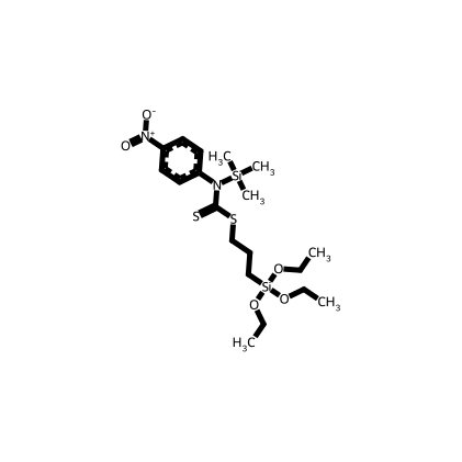 CCO[Si](CCCSC(=S)N(c1ccc([N+](=O)[O-])cc1)[Si](C)(C)C)(OCC)OCC